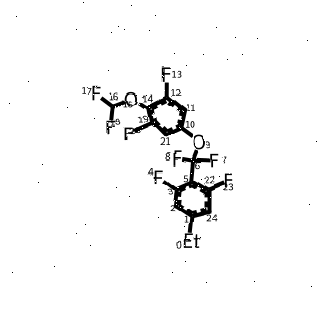 CCc1cc(F)c(C(F)(F)Oc2cc(F)c(OC(F)F)c(F)c2)c(F)c1